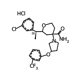 C[C@@H](c1cccc(Cl)c1)C1CC(C(N)=O)(N2CCC(Oc3cccc(C(F)(F)F)c3)C2)CCO1.Cl